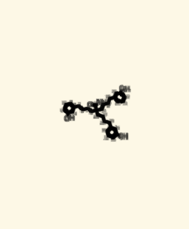 NC(=O)C(CCCCc1cccc(O)c1)(CCCCc1cccc(O)c1)CCCCc1cccc(O)c1